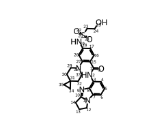 O=C(Nc1cccc2c1nc1n2CCC1)c1ccc(NS(=O)(=O)CCO)cc1N1CCC2(CC1)CC2